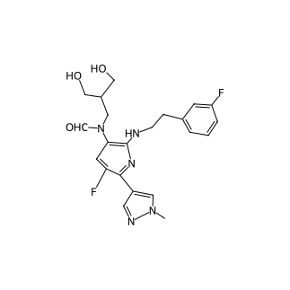 Cn1cc(-c2nc(NCCc3cccc(F)c3)c(N(C=O)CC(CO)CO)cc2F)cn1